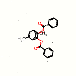 CC1=CC2C(C)CC1C(OC(=O)c1ccccc1)C2OC(=O)c1ccccc1